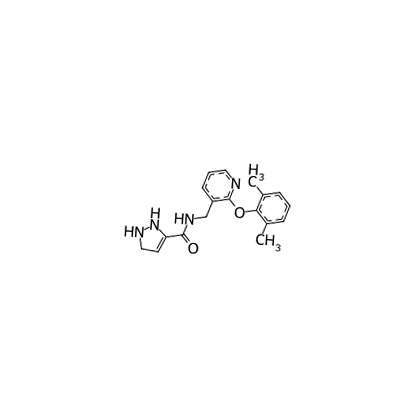 Cc1cccc(C)c1Oc1ncccc1CNC(=O)C1=CCNN1